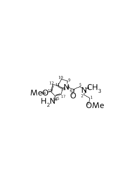 COCCN(C)CC(=O)N1CCc2cc(OC)c(N)cc21